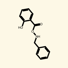 O=C(ONCc1ccccc1)c1ccccc1O